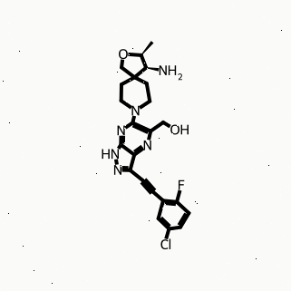 C[C@@H]1OCC2(CCN(c3nc4[nH]nc(C#Cc5cc(Cl)ccc5F)c4nc3CO)CC2)[C@@H]1N